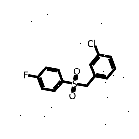 O=S(=O)(Cc1cccc(Cl)c1)c1ccc(F)cc1